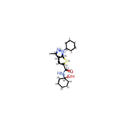 Cc1nn(C2CCCCC2)c2sc(C(=O)NC3(O)CCCCC3)cc12